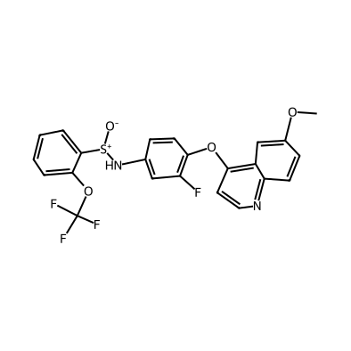 COc1ccc2nccc(Oc3ccc(N[S+]([O-])c4ccccc4OC(F)(F)F)cc3F)c2c1